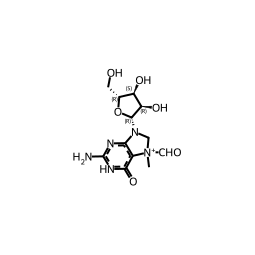 C[N+]1(C=O)CN([C@@H]2O[C@H](CO)[C@@H](O)[C@H]2O)c2nc(N)[nH]c(=O)c21